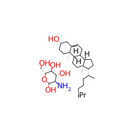 CC(C)CCCC(C)[C@H]1CC[C@H]2[C@@H]3CC=C4C[C@@H](O)CC[C@]4(C)[C@H]3CC[C@]12C.N[C@H]1C(O)O[C@H](CO)[C@@H](O)[C@@H]1O